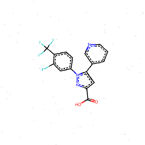 O=C(O)c1cc(-c2cccnc2)n(-c2ccc(C(F)(F)F)c(F)c2)n1